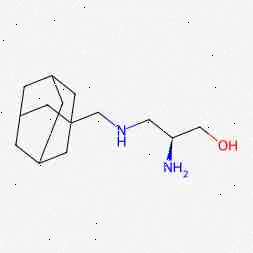 N[C@H](CO)CNCC12CC3CC(CC(C3)C1)C2